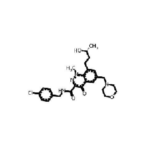 C[C@@H](O)CCc1cc(CN2CCOCC2)cc2c(=O)c(C(=O)NCc3ccc(Cl)cc3)nn(C)c12